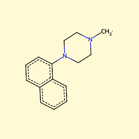 [CH2]N1CCN(c2cccc3ccccc23)CC1